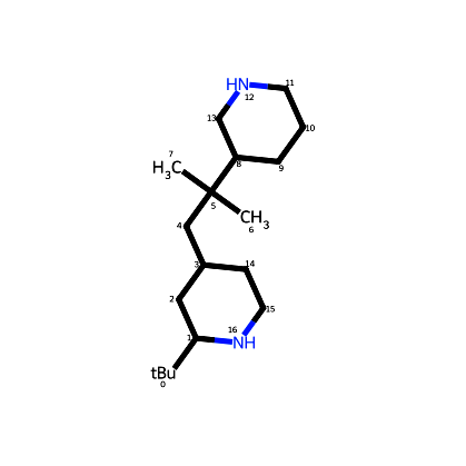 CC(C)(C)C1CC(CC(C)(C)C2CCCNC2)CCN1